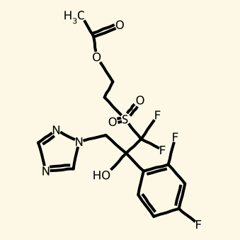 CC(=O)OCCS(=O)(=O)C(F)(F)C(O)(Cn1cncn1)c1ccc(F)cc1F